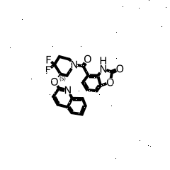 O=C(c1cccc2oc(=O)[nH]c12)N1CCC(F)(F)[C@@H](Oc2ccc3ccccc3n2)C1